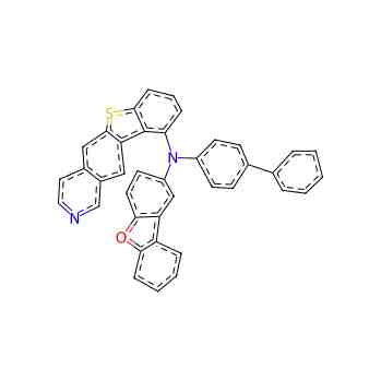 c1ccc(-c2ccc(N(c3ccc4oc5ccccc5c4c3)c3cccc4sc5cc6ccncc6cc5c34)cc2)cc1